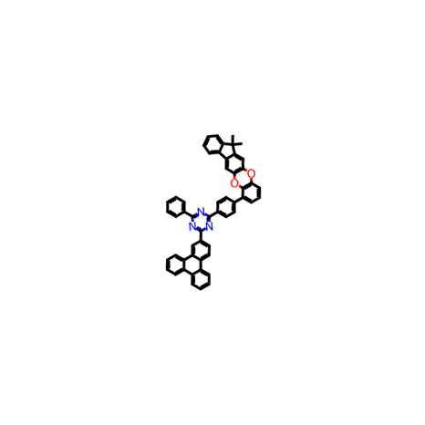 CC1(C)c2ccccc2-c2cc3c(cc21)Oc1cccc(-c2ccc(-c4nc(-c5ccccc5)nc(-c5ccc6c7ccccc7c7ccccc7c6c5)n4)cc2)c1O3